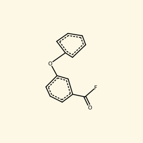 O=C(F)c1cccc(Oc2ccccc2)c1